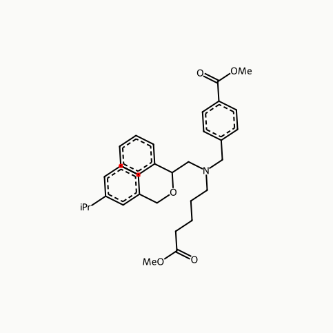 COC(=O)CCCCN(Cc1ccc(C(=O)OC)cc1)CC(OCc1cccc(C(C)C)c1)c1ccccc1